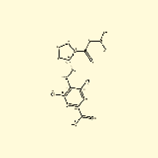 CC(C)CC(=O)N1CCC[C@H]1COc1c(Cl)cc(C(=O)O)cc1Cl